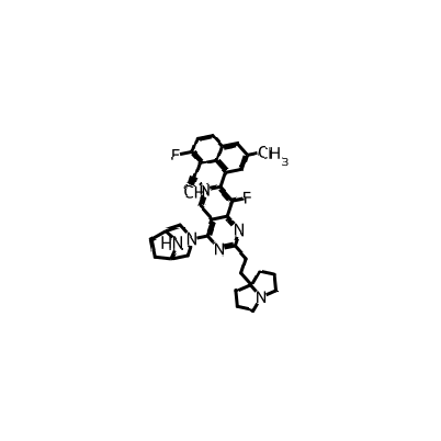 C#Cc1c(F)ccc2cc(C)cc(-c3ncc4c(N5CC6CCC(C5)N6)nc(CCC56CCCN5CCC6)nc4c3F)c12